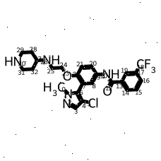 Cn1ncc(Cl)c1-c1cc(NC(=O)c2cccc(C(F)(F)F)c2)ccc1OCCNC1CCNCC1